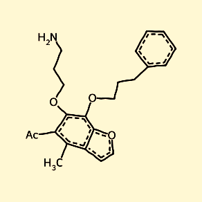 CC(=O)c1c(OCCCN)c(OCCCc2ccccc2)c2occc2c1C